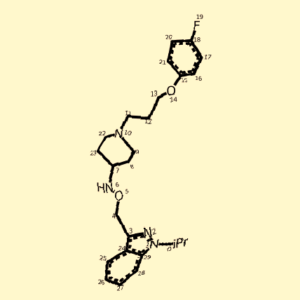 CC(C)n1nc(CONC2CCN(CCCOc3ccc(F)cc3)CC2)c2ccccc21